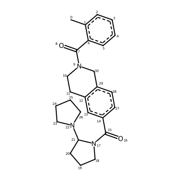 Cc1ccccc1C(=O)N1CCc2cc(C(=O)N3CCCC3N3CCCC3)ccc2C1